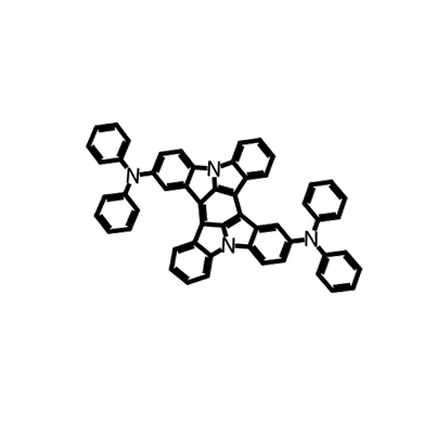 c1ccc(N(c2ccccc2)c2ccc3c(c2)c2c4c5ccccc5n5c6ccc(N(c7ccccc7)c7ccccc7)cc6c(c6c7ccccc7n3c62)c45)cc1